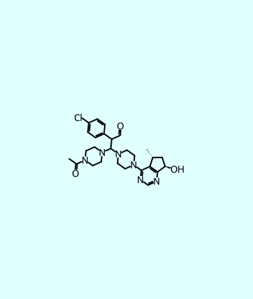 CC(=O)N1CCN(C(C(C=O)c2ccc(Cl)cc2)N2CCN(c3ncnc4c3[C@H](C)C[C@H]4O)CC2)CC1